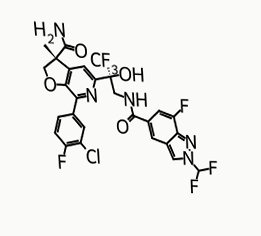 C[C@]1(C(N)=O)COc2c1cc([C@@](O)(CNC(=O)c1cc(F)c3nn(C(F)F)cc3c1)C(F)(F)F)nc2-c1ccc(F)c(Cl)c1